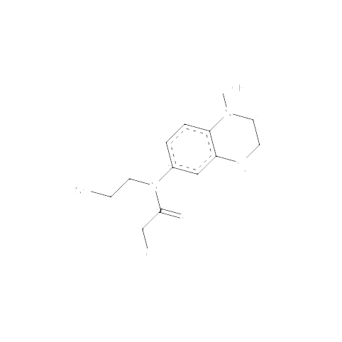 N#CCCN(C(=O)CCl)c1ccc2c(c1)OCCN2C(=O)O